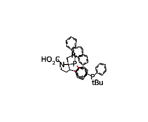 CC(C)(C)P(c1ccccc1)c1ccc(C2CCN(C(=O)O)[C@]2(CP(c2ccccc2)c2ccccc2)P(c2ccccc2)c2ccccc2)cc1